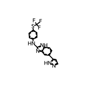 FC(F)(F)Sc1ccc(Nc2nc3cc(-c4ccn[nH]4)ccc3[nH]2)cc1